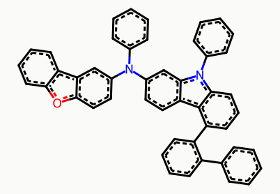 c1ccc(-c2ccccc2-c2cccc3c2c2ccc(N(c4ccccc4)c4ccc5oc6ccccc6c5c4)cc2n3-c2ccccc2)cc1